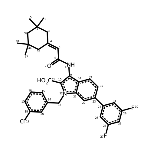 CC1(C)CC(=CC(=O)Nc2c(C(=O)O)n(Cc3cccc(Cl)c3)c3cc(-c4cc(F)cc(F)c4)ccc23)CC(C)(C)C1